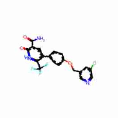 NC(=O)c1cc(-c2ccc(OCc3cncc(Cl)c3)cc2)c(C(F)(F)F)[nH]c1=O